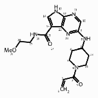 C=CC(=O)N1CCC(Nc2cnc3[nH]cc(C(=O)NCCOC)c3n2)CC1